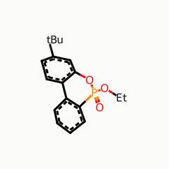 CCOP1(=O)Oc2cc(C(C)(C)C)ccc2-c2ccccc21